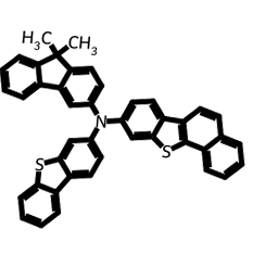 CC1(C)c2ccccc2-c2cc(N(c3ccc4c(c3)sc3ccccc34)c3ccc4c(c3)sc3c5ccccc5ccc43)ccc21